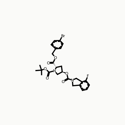 CC(C)(C)OC(=O)N1C[C@H](OC(=O)N2Cc3cccc(F)c3C2)C[C@H]1C(=O)OCc1ccc(Br)cc1